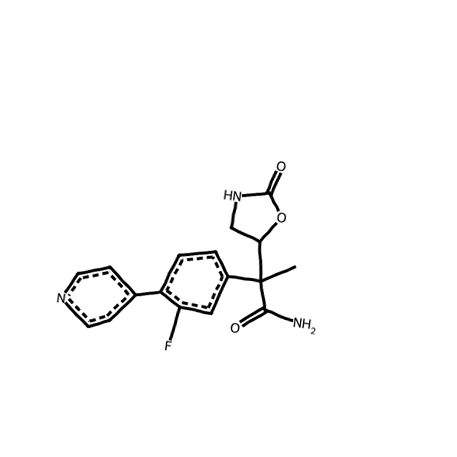 CC(C(N)=O)(c1ccc(-c2ccncc2)c(F)c1)C1CNC(=O)O1